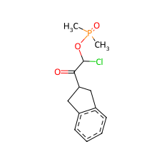 CP(C)(=O)OC(Cl)C(=O)C1Cc2ccccc2C1